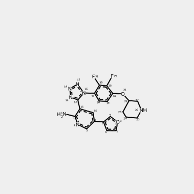 Nc1ncc(-c2ccoc2)cc1-c1nnnn1-c1ccc(OC2CCCNC2)c(F)c1F